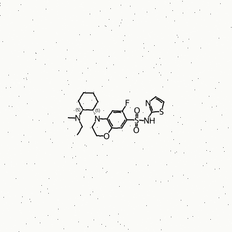 CCN(C)[C@H]1CCCC[C@@H]1N1CCOc2cc(S(=O)(=O)Nc3nccs3)c(F)cc21